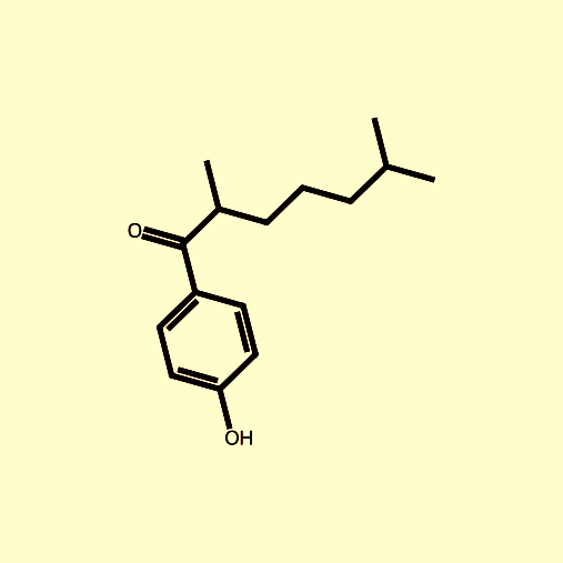 CC(C)CCCC(C)C(=O)c1ccc(O)cc1